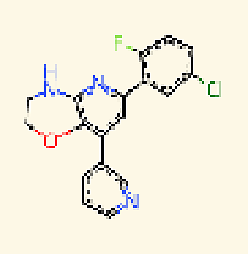 Fc1ccc(Cl)cc1-c1cc(-c2cccnc2)c2c(n1)NCCO2